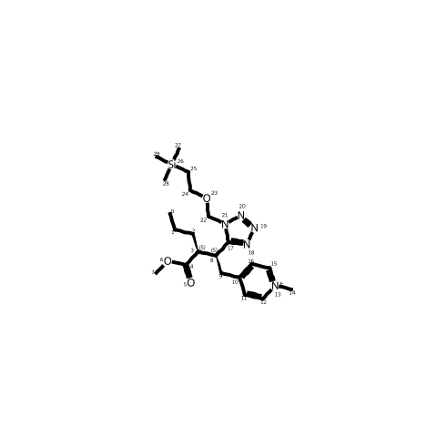 CCC[C@H](C(=O)OC)[C@H](Cc1cc[n+](C)cc1)c1nnnn1COCC[Si](C)(C)C